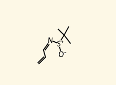 C=C/C=N\[S+]([O-])C(C)(C)C